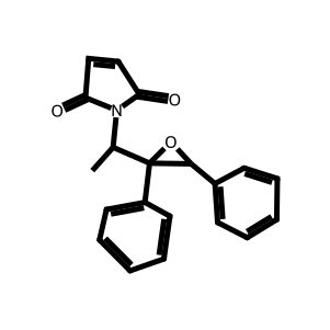 CC(N1C(=O)C=CC1=O)C1(c2ccccc2)OC1c1ccccc1